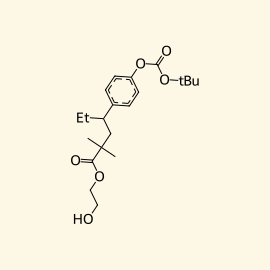 CCC(CC(C)(C)C(=O)OCCO)c1ccc(OC(=O)OC(C)(C)C)cc1